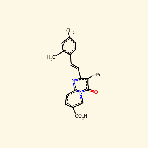 CCCc1c(/C=C/c2ccc(C)cc2C)nc2ccc(C(=O)O)cn2c1=O